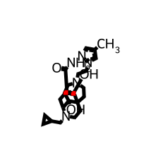 Cc1cnn(CCN2CCC34CCN(CC5CC5)C(Cc5cc(C(N)=O)c(O)cc53)C4(O)CC2)c1